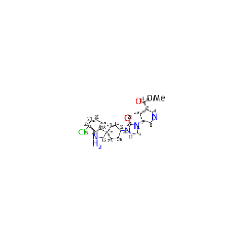 COC(=O)c1cncc(N2CCN(C3CCC(CN)(c4cccc(Cl)c4)CC3)C2=O)c1